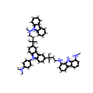 CNc1cccc2c1[nH]c1c(NCCC(C)(C)c3ccc4c(c3)c3cc(C(C)(C)CCN(C)n5c6ccccc6c6ccccc65)ccc3n4-c3ccc(N(C)C)cc3)cccc12